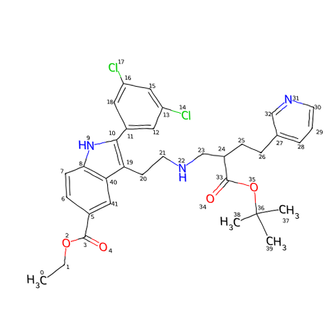 CCOC(=O)c1ccc2[nH]c(-c3cc(Cl)cc(Cl)c3)c(CCNCC(CCc3cccnc3)C(=O)OC(C)(C)C)c2c1